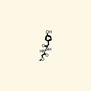 COCC(=O)NNC(=O)Cc1ccc(O)cc1